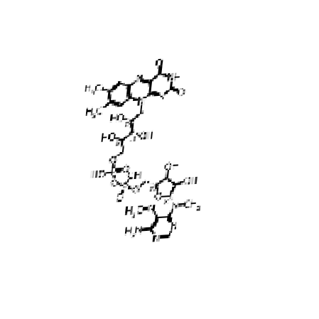 C=Nc1c(N)ncnc1N(C)[C@@H]1O[C@H](COP(=O)(O)OP(=O)(O)OC[C@@H](O)[C@@H](O)[C@@H](O)Cn2c3nc(=O)[nH]c(=O)c-3nc3cc(C)c(C)cc32)C(O)C1O